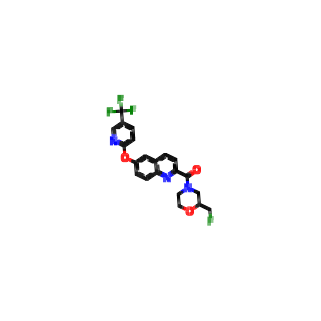 O=C(c1ccc2cc(Oc3ccc(C(F)(F)F)cn3)ccc2n1)N1CCOC(CF)C1